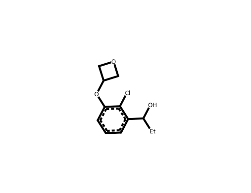 CCC(O)c1cccc(OC2COC2)c1Cl